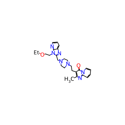 CCOCCn1c(CN2CCN(CCc3c(C)nc4ccccn4c3=O)CC2)nc2cccnc21